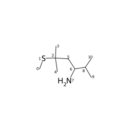 CSC(C)(C)CC(N)C(C)C